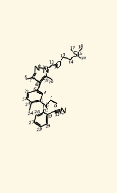 CCN(c1cc(-c2c(C)nn(COCC[Si](C)(C)C)c2C)ccc1C)c1ccccc1C#N